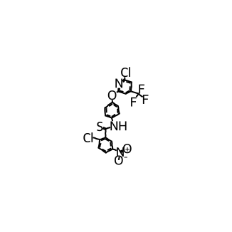 O=[N+]([O-])c1ccc(Cl)c(C(=S)Nc2ccc(Oc3cc(C(F)(F)F)cc(Cl)n3)cc2)c1